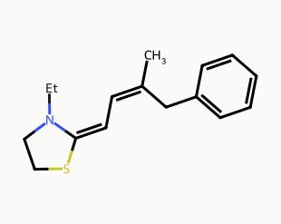 CCN1CCS/C1=C/C=C(/C)Cc1ccccc1